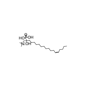 CCCC/C=C\CCCCCCCCCCCC(O)(C[N+](C)(C)C)P(=O)(O)O